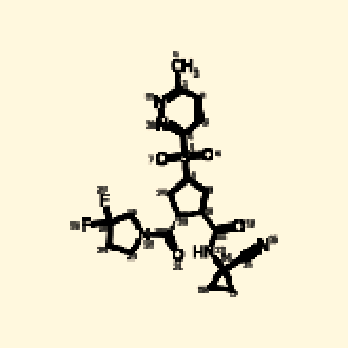 Cc1ccc(S(=O)(=O)C2C[C@@H](C(=O)NC3(C#N)CC3)[C@H](C(=O)N3CCC(F)(F)C3)C2)nn1